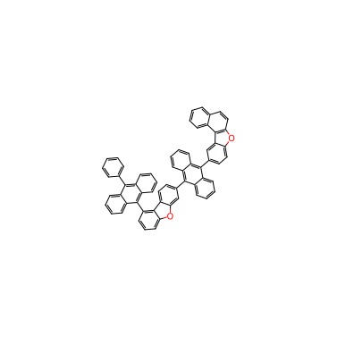 c1ccc(-c2c3ccccc3c(-c3cccc4oc5cc(-c6c7ccccc7c(-c7ccc8oc9ccc%10ccccc%10c9c8c7)c7ccccc67)ccc5c34)c3ccccc23)cc1